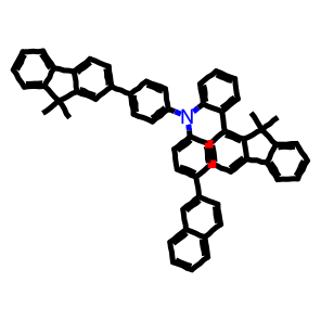 CC1(C)c2ccccc2-c2ccc(-c3ccc(N(c4ccc(-c5ccc6ccccc6c5)cc4)c4ccccc4-c4cccc5c4C(C)(C)c4ccccc4-5)cc3)cc21